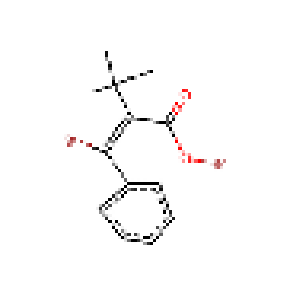 CC(C)(C)C(C(=O)OBr)=C(Br)c1ccccc1